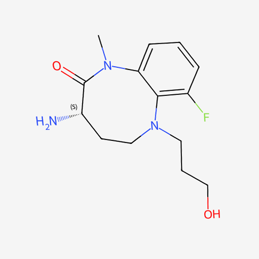 CN1C(=O)[C@@H](N)CCN(CCCO)c2c(F)cccc21